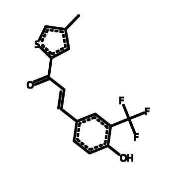 Cc1csc(C(=O)C=Cc2ccc(O)c(C(F)(F)F)c2)c1